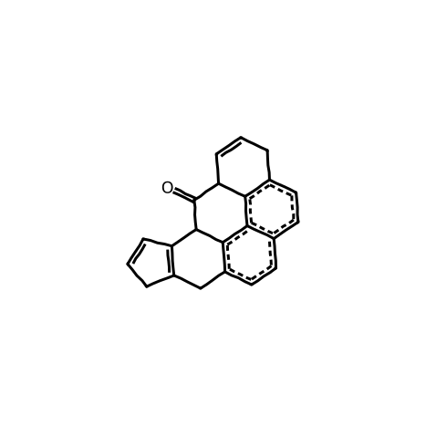 O=C1C2C=CCc3ccc4ccc5c(c4c32)C1C1=C(CC=C1)C5